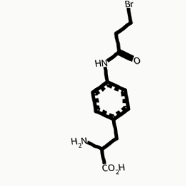 NC(Cc1ccc(NC(=O)CCBr)cc1)C(=O)O